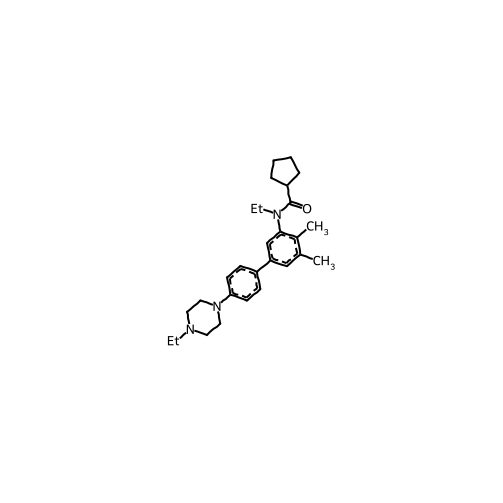 CCN1CCN(c2ccc(-c3cc(C)c(C)c(N(CC)C(=O)C4CCCC4)c3)cc2)CC1